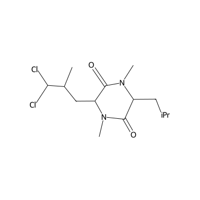 CC(C)CC1C(=O)N(C)C(CC(C)C(Cl)Cl)C(=O)N1C